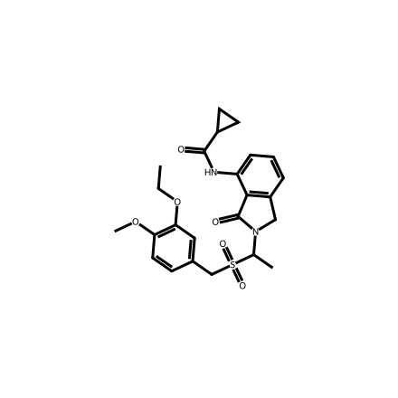 CCOc1cc(CS(=O)(=O)C(C)N2Cc3cccc(NC(=O)C4CC4)c3C2=O)ccc1OC